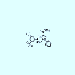 CON(C)c1nc([C@H](C)NC(=O)c2cc(C(F)(F)F)cc(S(C)(=O)=O)c2)n(-c2ncccn2)n1